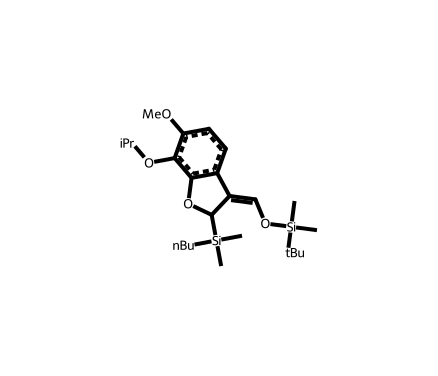 CCCC[Si](C)(C)C1Oc2c(ccc(OC)c2OC(C)C)C1=CO[Si](C)(C)C(C)(C)C